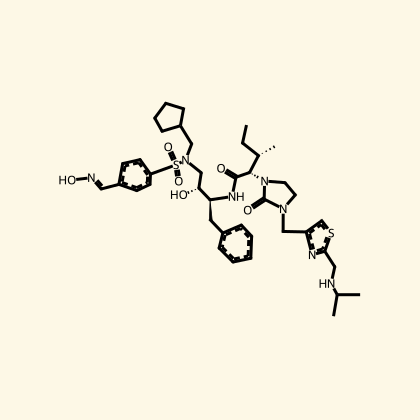 CC[C@H](C)[C@@H](C(=O)N[C@@H](Cc1ccccc1)[C@H](O)CN(CC1CCCC1)S(=O)(=O)c1ccc(C=NO)cc1)N1CCN(Cc2csc(CNC(C)C)n2)C1=O